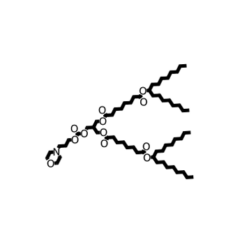 CCCCCCCCC(CCCCCCCC)OC(=O)CCCCCCC(=O)OCC(COC(=O)CCCCCCC(=O)OC(CCCCCCCC)CCCCCCCC)COC(=O)OCCCN1CCOCC1